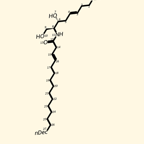 CCCCCCCCCCCCC=CC[C@@H](O)[C@H](CO)NC(=O)CC=CCCCCCCCCCCCCCCCCCCCC